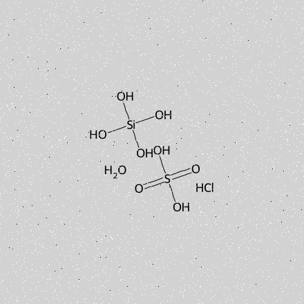 Cl.O.O=S(=O)(O)O.O[Si](O)(O)O